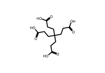 O=C(O)CCC(CCC(=O)O)(CCC(=O)O)CCC(=O)O